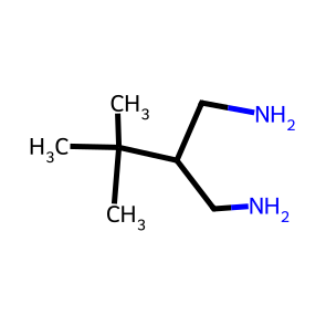 CC(C)(C)C(CN)CN